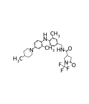 Cc1cc(CNC(=O)C2CC(=O)N(C(F)(F)F)C2)ccc1Nc1ccc(N2CCC(C)CC2)cc1C